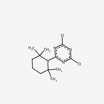 CC1(C)CCCC(C)(C)N1c1nc(Cl)nc(Cl)n1